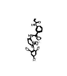 C=CC(=O)Nc1cccc(C(=O)NC2=[N+]([O-])N(c3c(Cl)cc(Cl)cc3Cl)CC2)c1